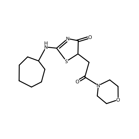 O=C1N=C(NC2CCCCCC2)SC1CC(=O)N1CCOCC1